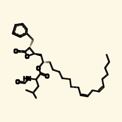 CCCCC/C=C\C/C=C\CCCCCCC[C@@H](C[C@H]1OC(=O)[C@@H]1Cc1ccccc1)OC(=O)C(CC(C)C)NC=O